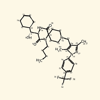 CCCCN1C(=O)[C@@H]([C@H](O)C2CCCCC2)NC(=O)C12CCN(Cc1c(C)nn(-c3ccc(C(F)(F)F)cc3)c1C)CC2